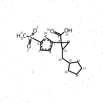 CS(=O)(=O)c1ccc(C2(C(=O)O)CC2CC2CCCC2)s1